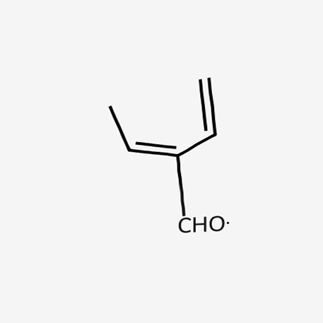 C=CC([C]=O)=CC